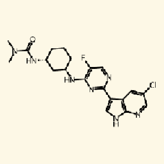 CN(C)C(=O)N[C@@H]1CCC[C@@H](Nc2nc(-c3c[nH]c4ncc(Cl)cc34)ncc2F)C1